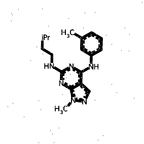 Cc1cccc(Nc2nc(NCCC(C)C)nc3c2cnn3C)c1